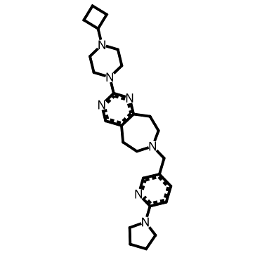 c1cc(N2CCCC2)ncc1CN1CCc2cnc(N3CCN(C4CCC4)CC3)nc2CC1